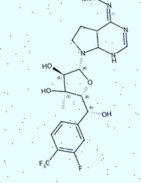 CO/N=C1/N=CNC2C1CCN2[C@@H]1O[C@H]([C@H](O)c2ccc(C(F)(F)F)c(F)c2)[C@@](C)(O)[C@H]1O